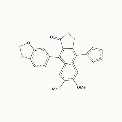 COc1cc2c(-c3cccs3)c3c(c(-c4ccc5c(c4)OCO5)c2cc1OC)C(=O)OC3